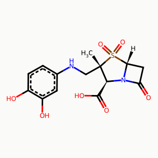 C[C@]1(CNc2ccc(O)c(O)c2)[C@H](C(=O)O)N2C(=O)C[C@H]2S1(=O)=O